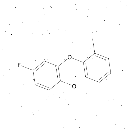 Cc1ccccc1Oc1cc(F)ccc1[O]